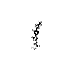 CC(=O)NC[C@H]1CN(c2ccc(-c3noc(C(F)(F)F)n3)c(F)c2)C(=O)O1